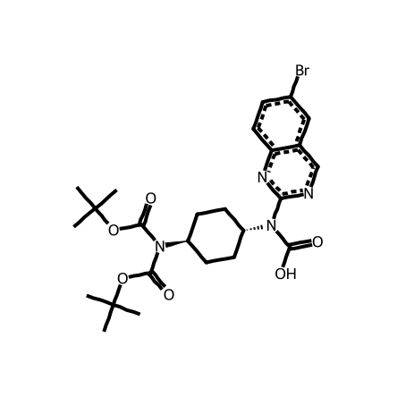 CC(C)(C)OC(=O)N(C(=O)OC(C)(C)C)[C@H]1CC[C@H](N(C(=O)O)c2ncc3cc(Br)ccc3n2)CC1